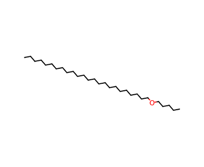 CCCCCCCCCCCCCCCCCCCCCCCCOCCCCC